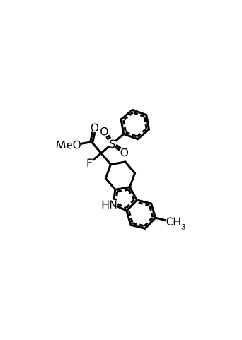 COC(=O)C(F)(C1CCc2c([nH]c3ccc(C)cc23)C1)S(=O)(=O)c1ccccc1